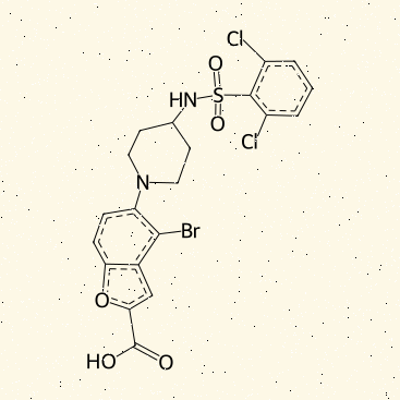 O=C(O)c1cc2c(Br)c(N3CCC(NS(=O)(=O)c4c(Cl)cccc4Cl)CC3)ccc2o1